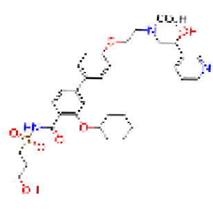 O=C(NS(=O)(=O)CCCO)c1ccc(-c2ccc(OCCN(C[C@@H](O)c3cccnc3)C(=O)O)cc2)cc1OC1CCCCC1